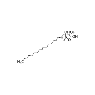 CCCCCCCCCCCCCCCCCCC(O)([PH2]=O)C(O)CO